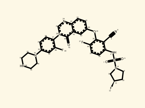 N#Cc1c(NS(=O)(=O)N2CC[C@@H](F)C2)ccc(F)c1Oc1ccc2ncn(-c3ccc(N4CCNCC4)cc3F)c(=O)c2c1